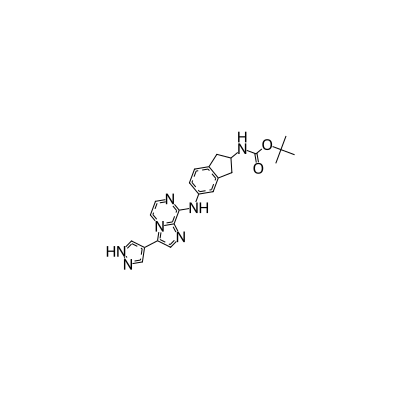 CC(C)(C)OC(=O)NC1Cc2ccc(Nc3nccn4c(-c5cn[nH]c5)cnc34)cc2C1